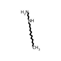 CCCCCCCCCCCCCCNCCCCN